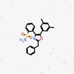 Cc1cc(C)cc(-c2oc(Cc3ccccc3)nc2-c2ccccc2S(N)(=O)=O)c1